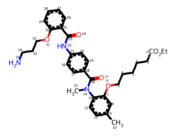 CCOC(=O)CCCCCOc1cc(C)ccc1N(C)C(=O)c1ccc(NC(=O)c2ccccc2OCCCN)cc1